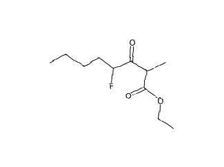 CCCCC(F)C(=O)C(C)C(=O)OCC